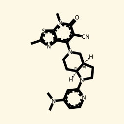 Cc1nc2c(N3CC[C@H]4[C@H](CCN4c4cc(N(C)C)ccn4)C3)c(C#N)c(=O)n(C)c2s1